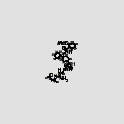 C=C(Cl)/C=C(C)\N=C(/N)NCCNS(=O)(=O)N[C@H]1CC[C@](CNC(=O)c2ccccc2OC)(c2ccccc2)CC1